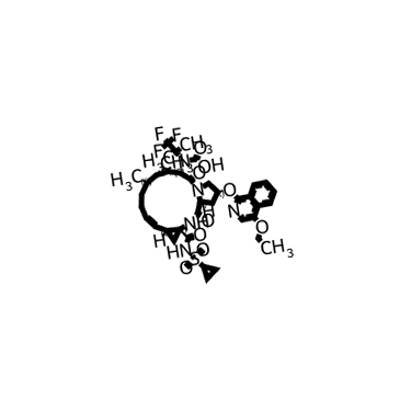 CCOc1cnc(O[C@@H]2C[C@H]3C(=O)N[C@]4(C(=O)NS(=O)(=O)C5CC5)C[C@H]4C=CCC[C@H](C)C[C@@H](C)[C@H](N(C(=O)O)C(C)(C)C(F)(F)F)C(=O)N3C2)c2ccccc12